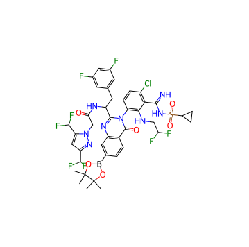 CC1(C)OB(c2ccc3c(=O)n(-c4ccc(Cl)c(C(=N)NS(=O)(=O)C5CC5)c4NCC(F)F)c(C(Cc4cc(F)cc(F)c4)NC(=O)Cn4nc(C(F)F)cc4C(F)F)nc3c2)OC1(C)C